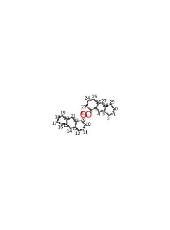 c1ccc2cc3c(OOc4cccc5cc6ccccc6cc45)cccc3cc2c1